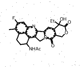 CCC1(O)C(=O)OCc2c1cc1n(c2=O)Cc2c-1nc1cc(F)c(C)c3c1c2C(NC(C)=O)CC3